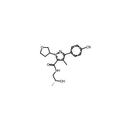 Cc1c(-c2ccc(C#N)cc2)nn(C2CCOC2)c1C(=O)NC[C@@H](C)O